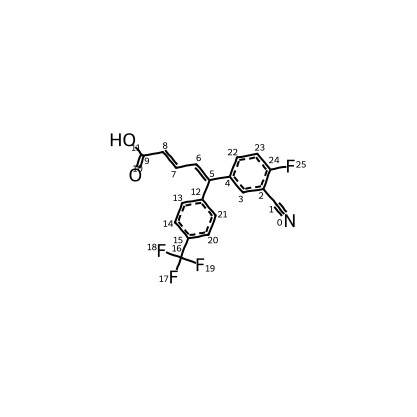 N#Cc1cc(C(=CC=CC(=O)O)c2ccc(C(F)(F)F)cc2)ccc1F